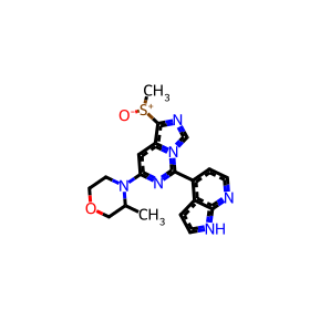 CC1COCCN1c1cc2c([S+](C)[O-])ncn2c(-c2ccnc3[nH]ccc23)n1